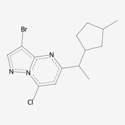 CC1CCC(C(C)c2cc(Cl)n3ncc(Br)c3n2)C1